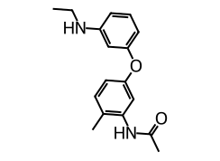 CCNc1cccc(Oc2ccc(C)c(NC(C)=O)c2)c1